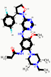 C=CC(=O)Nc1cc(Nc2cc(N3OCC[C@@H]3c3cc(F)ccc3F)ncn2)c(OC)cc1N1C[C@@H](C)N(CC)[C@@H](C)C1